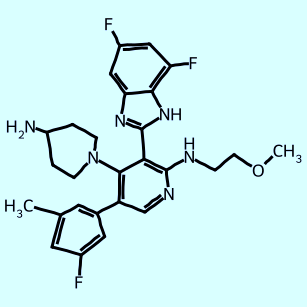 COCCNc1ncc(-c2cc(C)cc(F)c2)c(N2CCC(N)CC2)c1-c1nc2cc(F)cc(F)c2[nH]1